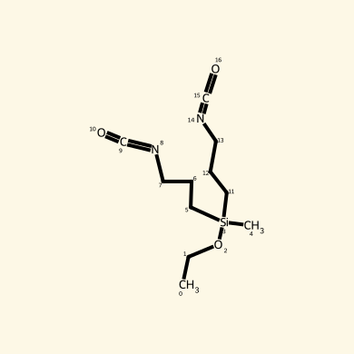 CCO[Si](C)(CCCN=C=O)CCCN=C=O